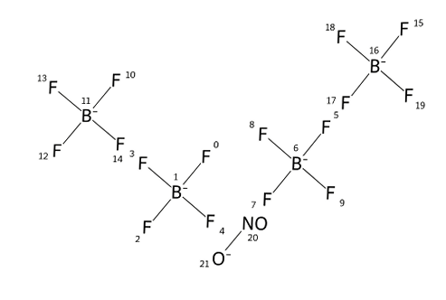 F[B-](F)(F)F.F[B-](F)(F)F.F[B-](F)(F)F.F[B-](F)(F)F.O=[NH+][O-]